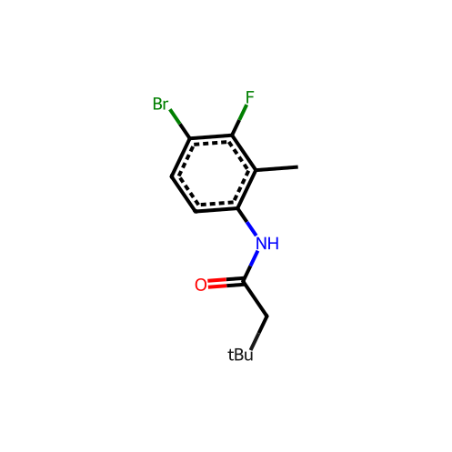 Cc1c(NC(=O)CC(C)(C)C)ccc(Br)c1F